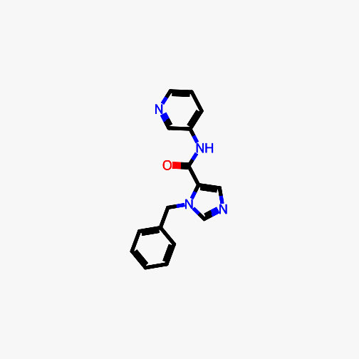 O=C(Nc1cccnc1)c1cncn1Cc1ccccc1